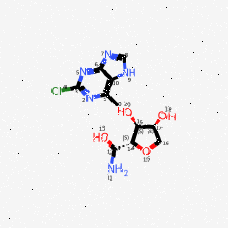 Cc1nc(Cl)nc2nc[nH]c12.NC(O)[C@H]1OC[C@H](O)[C@@H]1O